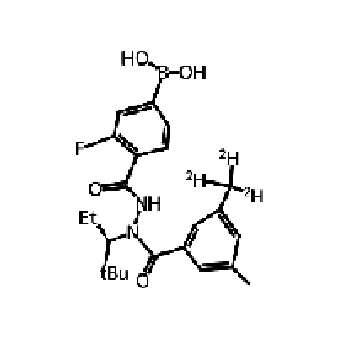 [2H]C([2H])([2H])c1cc(C)cc(C(=O)N(NC(=O)c2ccc(B(O)O)cc2F)[C@H](CC)C(C)(C)C)c1